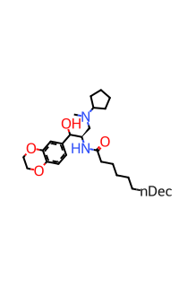 CCCCCCCCCCCCCCCC(=O)N[C@H](CN(C)C1CCCC1)C(O)c1ccc2c(c1)OCCO2